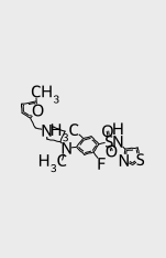 Cc1ccc(CN2CCC(N(C)c3cc(F)c(S(=O)(=O)Nc4cscn4)cc3C)C2)o1